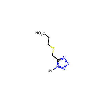 CC(C)n1nnnc1CSCCC(=O)O